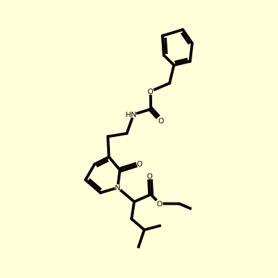 CCOC(=O)C(CC(C)C)n1cccc(CCNC(=O)OCc2ccccc2)c1=O